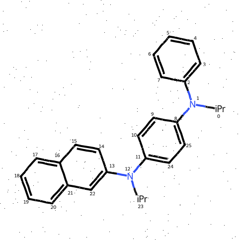 CC(C)N(c1ccccc1)c1ccc(N(c2ccc3ccccc3c2)C(C)C)cc1